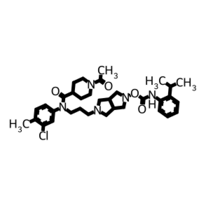 CC(=O)N1CCC(C(=O)N(CCCN2CC3CN(OC(=O)Nc4ccccc4C(C)C)CC3C2)c2ccc(C)c(Cl)c2)CC1